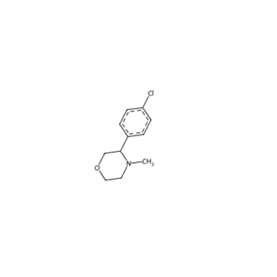 CN1CCOCC1c1ccc(Cl)cc1